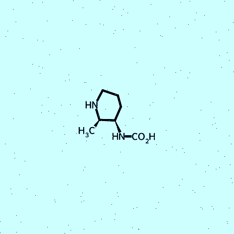 C[C@H]1NCCC[C@H]1NC(=O)O